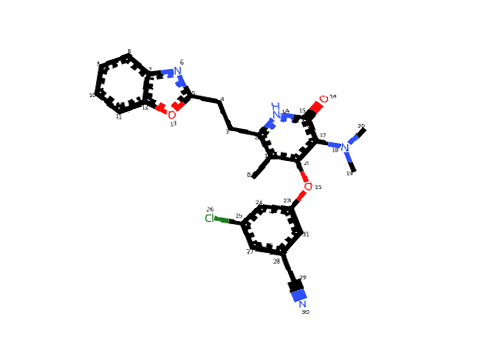 Cc1c(CCc2nc3ccccc3o2)[nH]c(=O)c(N(C)C)c1Oc1cc(Cl)cc(C#N)c1